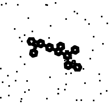 C1=CC2c3ccc(-c4ccc(-c5ccc(-c6cc(-c7cccc8c7oc7ccccc78)nc(-c7ccccc7)n6)c6ccccc56)cc4)cc3N(c3ccccc3)C2C=C1